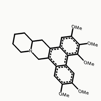 COc1cc2c3c(c4cc(OC)c(OC)c(OC)c4c2cc1OC)CC1CCCCN1C3